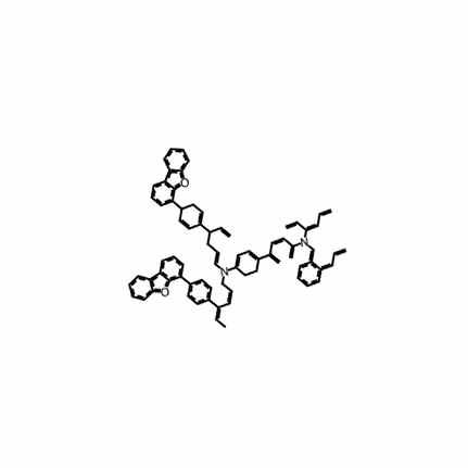 C=C/C=c1/cccc/c1=C\N(C(=C)/C=C\C(=C)C1=CC=C(N(/C=C/CC(C=C)C2=CCC(c3cccc4c3oc3ccccc34)C=C2)C/C=C\C(=C/C)c2ccc(-c3cccc4c3oc3ccccc34)cc2)CC1)/C(C=C)=C/C=C